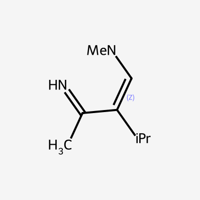 CN/C=C(\C(C)=N)C(C)C